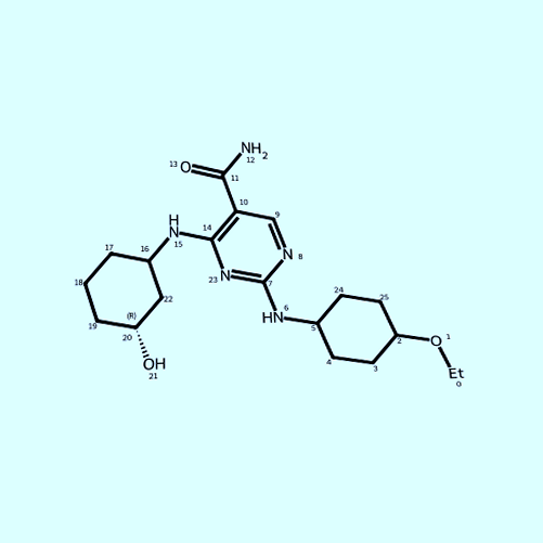 CCOC1CCC(Nc2ncc(C(N)=O)c(NC3CCC[C@@H](O)C3)n2)CC1